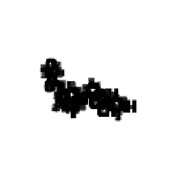 CC(=O)C(Nc1cccc(Sc2ccc(C=CC(=O)N3CCOCC3)c(C(F)(F)F)c2C(F)(F)F)c1)C1CCNCC1